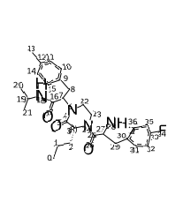 CCC[C@@H]1C(=O)N(C(Cc2ccc(C)cc2)C(=O)NC(C)C)CCN1C(=O)C(N)Cc1ccc(F)cc1